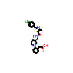 Cc1nc(-c2ccc(Cl)cc2)sc1C(=O)NC[C@@H]1CCCN(c2ccccc2CC(=O)O)C1